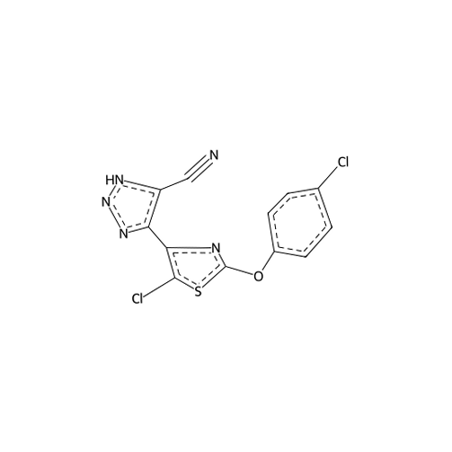 N#Cc1[nH]nnc1-c1nc(Oc2ccc(Cl)cc2)sc1Cl